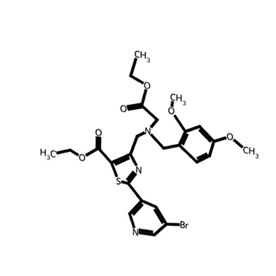 CCOC(=O)CN(Cc1ccc(OC)cc1OC)Cc1nc(-c2cncc(Br)c2)sc1C(=O)OCC